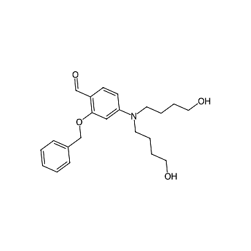 O=Cc1ccc(N(CCCCO)CCCCO)cc1OCc1ccccc1